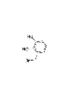 Oc1cccc(CBr)c1O